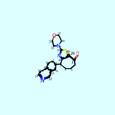 O=C1CCCC(c2ccc3ccncc3c2)c2nc(N3CCOCC3)sc21